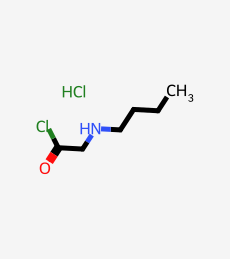 CCCCNCC(=O)Cl.Cl